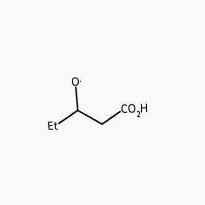 CCC([O])CC(=O)O